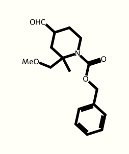 COCC1(C)CC(C=O)CCN1C(=O)OCc1ccccc1